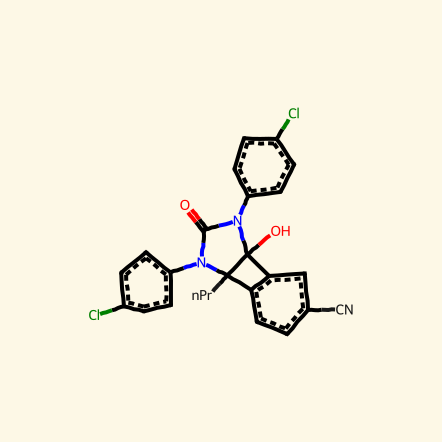 CCCC12c3ccc(C#N)cc3C1(O)N(c1ccc(Cl)cc1)C(=O)N2c1ccc(Cl)cc1